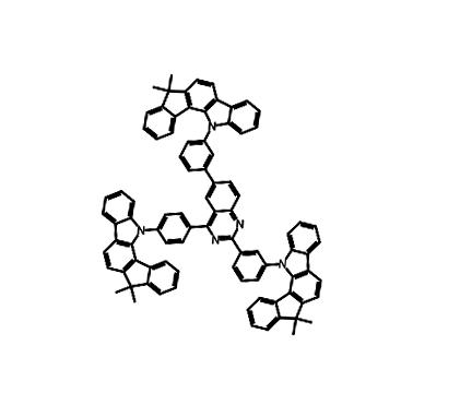 CC1(C)c2ccccc2-c2c1ccc1c3ccccc3n(-c3ccc(-c4nc(-c5cccc(-n6c7ccccc7c7ccc8c(c76)-c6ccccc6C8(C)C)c5)nc5ccc(-c6cccc(-n7c8ccccc8c8ccc9c(c87)-c7ccccc7C9(C)C)c6)cc45)cc3)c21